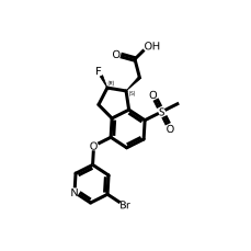 CS(=O)(=O)c1ccc(Oc2cncc(Br)c2)c2c1[C@H](CC(=O)O)[C@H](F)C2